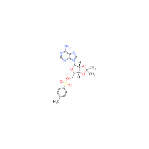 Cc1ccc(S(=O)(=O)OCC2OC(n3cnc4c(N)ncnc43)[C@@H]3OC(C)(C)O[C@H]23)cc1